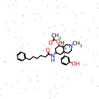 CC(=O)OC1C[C@@H](NC(=O)CCCCCc2ccccc2)C[C@]2(c3cccc(O)c3)CCN(C)C[C@@H]12